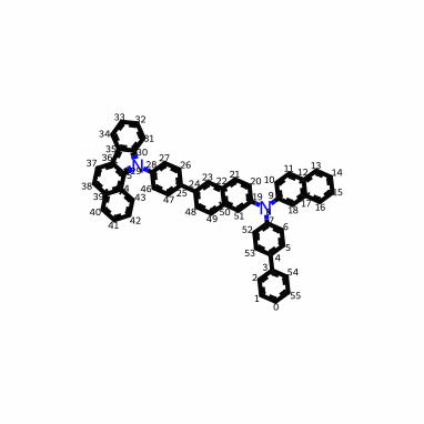 c1ccc(-c2ccc(N(c3ccc4ccccc4c3)c3ccc4cc(-c5ccc(-n6c7ccccc7c7ccc8ccccc8c76)cc5)ccc4c3)cc2)cc1